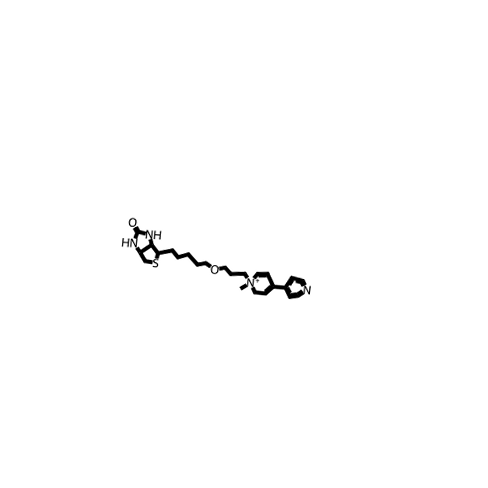 C[N+]1(CCCOCCCCCC2SCC3NC(=O)NC32)C=CC(c2ccncc2)=CC1